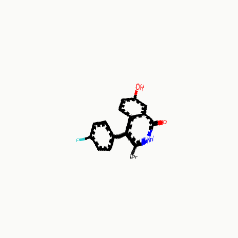 CC(C)c1[nH]c(=O)c2cc(O)ccc2c1-c1ccc(F)cc1